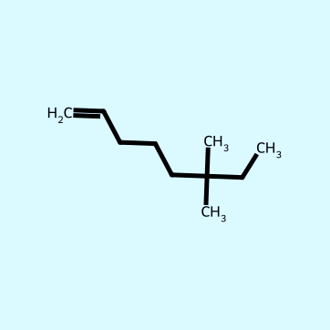 C=CCCCC(C)(C)CC